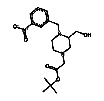 CC(C)(C)OC(=O)CN1CCN(Cc2cccc([N+](=O)[O-])c2)C(CO)C1